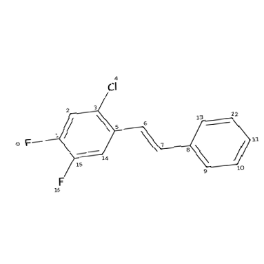 Fc1cc(Cl)c(/C=C/c2ccccc2)cc1F